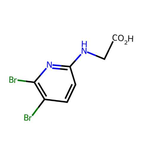 O=C(O)CNc1ccc(Br)c(Br)n1